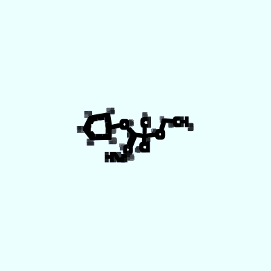 CCOC(Cl)(Cl)C(=O)Oc1ccccc1.[NaH]